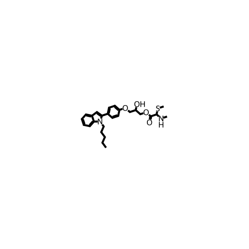 CCCCCn1c(-c2ccc(OCC(O)COC(=O)C(NC)SC)cc2)cc2ccccc21